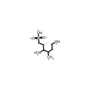 CC(CCO)C(N)CCS(=O)(=O)O